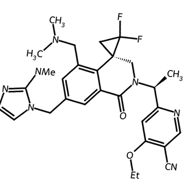 CCOc1cc([C@H](C)N2C[C@@]3(CC3(F)F)c3c(CN(C)C)cc(Cn4ccnc4NC)cc3C2=O)ncc1C#N